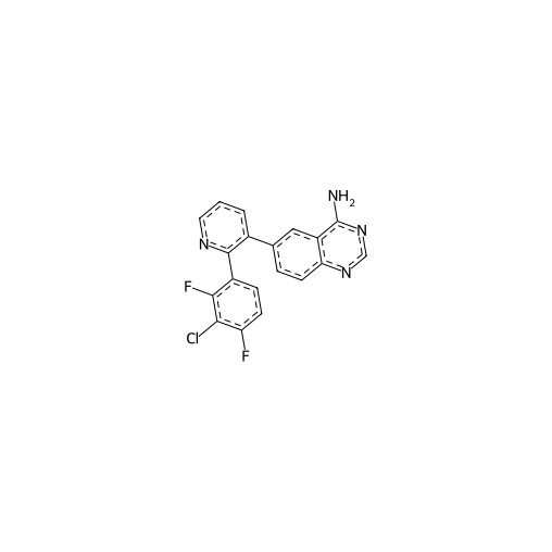 Nc1ncnc2ccc(-c3cccnc3-c3ccc(F)c(Cl)c3F)cc12